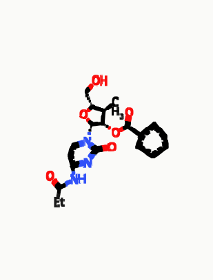 CCC(=O)Nc1ccn([C@@H]2O[C@H](CO)[C@@H](C)[C@@H]2OC(=O)c2ccccc2)c(=O)n1